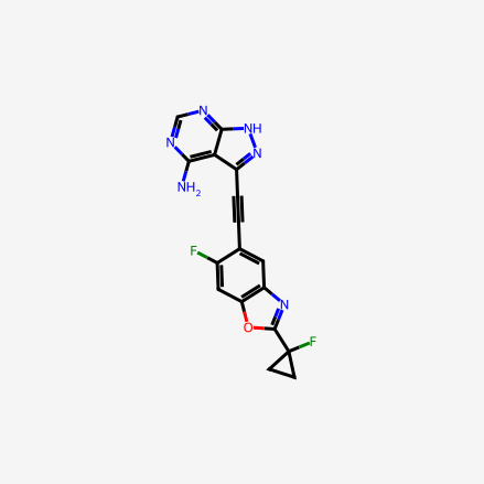 Nc1ncnc2[nH]nc(C#Cc3cc4nc(C5(F)CC5)oc4cc3F)c12